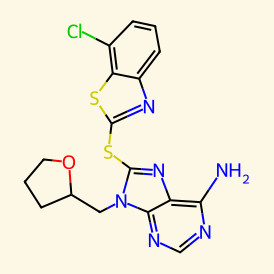 Nc1ncnc2c1nc(Sc1nc3cccc(Cl)c3s1)n2CC1CCCO1